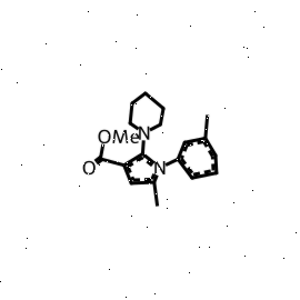 COC(=O)c1cc(C)n(-c2cccc(C)c2)c1N1CCCCC1